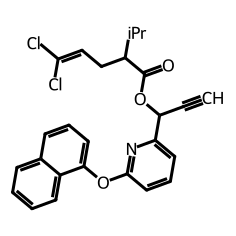 C#CC(OC(=O)C(CC=C(Cl)Cl)C(C)C)c1cccc(Oc2cccc3ccccc23)n1